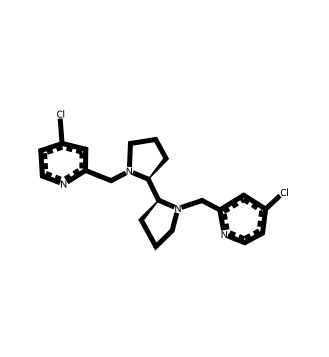 Clc1ccnc(CN2CCC[C@H]2[C@@H]2CCCN2Cc2cc(Cl)ccn2)c1